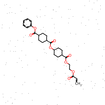 C=CC(=O)OCCOC(=O)C1CCC(OC(=O)C2CCC(C(=O)Oc3ccccc3)CC2)CC1